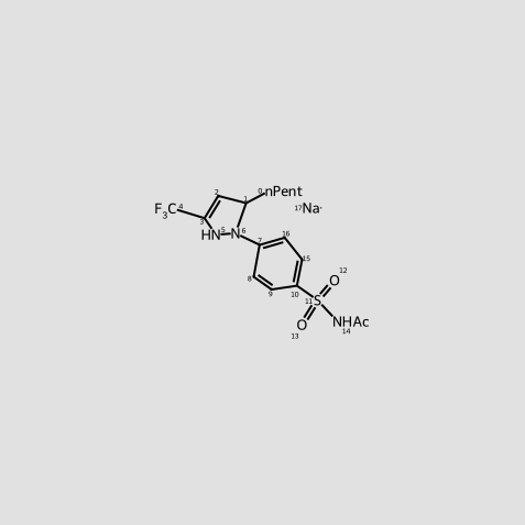 CCCCCC1C=C(C(F)(F)F)NN1c1ccc(S(=O)(=O)NC(C)=O)cc1.[Na]